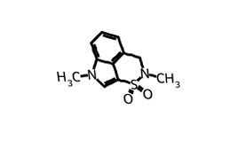 CN1Cc2cccc3c2c(cn3C)S1(=O)=O